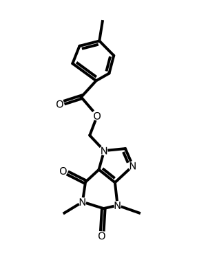 Cc1ccc(C(=O)OCn2cnc3c2c(=O)n(C)c(=O)n3C)cc1